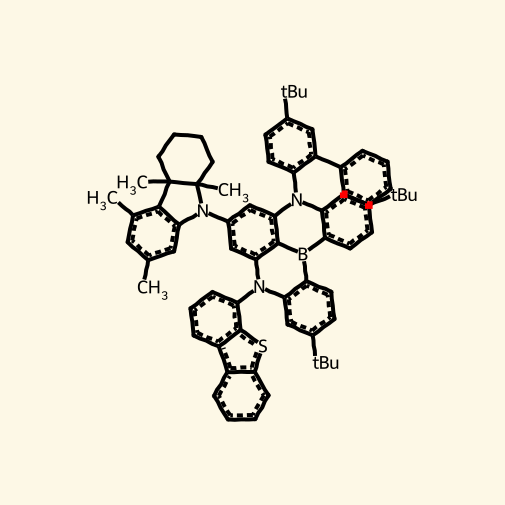 Cc1cc(C)c2c(c1)N(c1cc3c4c(c1)N(c1cccc5c1sc1ccccc15)c1cc(C(C)(C)C)ccc1B4c1ccc(C(C)(C)C)cc1N3c1ccc(C(C)(C)C)cc1-c1ccccc1)C1(C)CCCCC21C